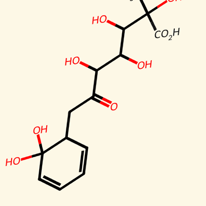 CC(O)(C(=O)O)C(O)C(O)C(O)C(=O)CC1C=CC=CC1(O)O